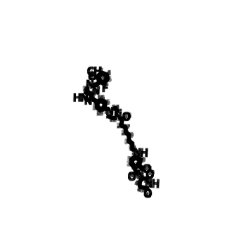 COc1cccc(F)c1-c1ncc2[nH]nc(-c3ccc(N4CCN(C(=O)CCCCCCCNc5ccc6c(c5)C(=O)N(C5CCC(=O)NC5=O)C6=O)CC4)cc3)c2n1